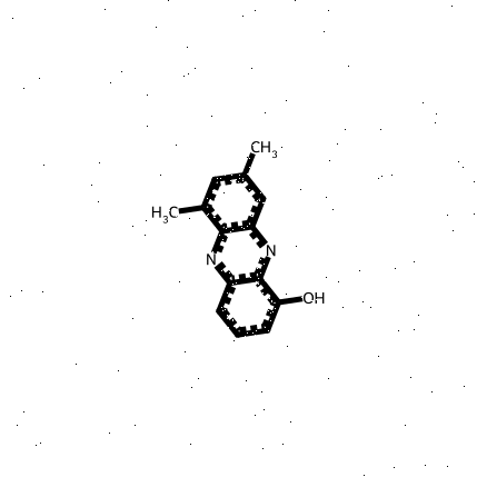 Cc1cc(C)c2nc3cccc(O)c3nc2c1